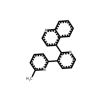 Cc1cccc(-c2cccnc2-c2ccnc3ccccc23)n1